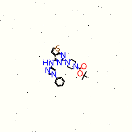 CC(C)(C)OC(=O)N1CCN(c2nc(Nc3cn(-c4ccccc4)cn3)c3ccsc3n2)CC1